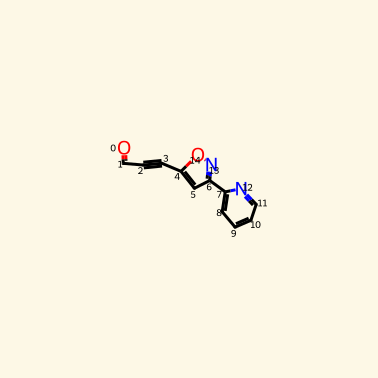 O=CC#Cc1cc(-c2ccccn2)no1